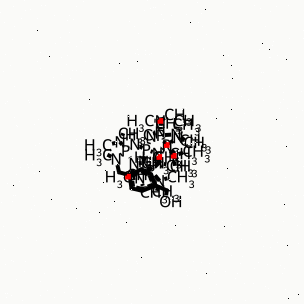 CN(C)P(=N[PH](N=P(N(C)C)(N(C)C)N(C)C)(N=P(N(C)C)(N(C)C)N(C)C)N=P(N(C)C)(N(C)C)N(C)Cc1ccc(CO)cc1)(N(C)C)N(C)C